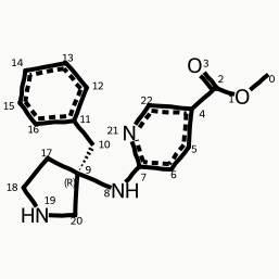 COC(=O)c1ccc(N[C@]2(Cc3ccccc3)CCNC2)nc1